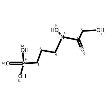 O=C(CO)N(O)CCCP(=O)(O)O